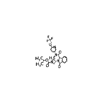 CC(C)OC(=O)N1CC(N2C(=O)c3ccccc3C2C(=O)N(C)c2ccc(OCC(F)(F)F)nc2)C1